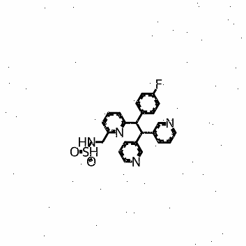 O=[SH](=O)NCc1cccc(C(c2ccc(F)cc2)C(c2cccnc2)c2cccnc2)n1